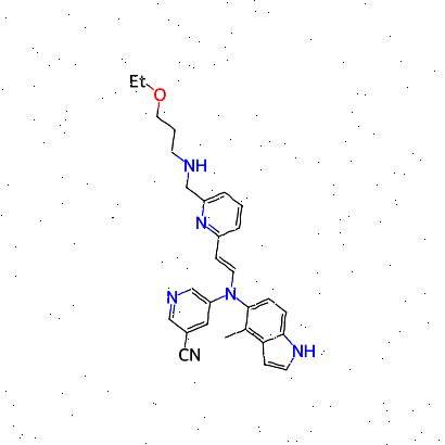 CCOCCCNCc1cccc(C=CN(c2cncc(C#N)c2)c2ccc3[nH]ccc3c2C)n1